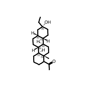 CC[C@@]1(O)CC[C@H]2[C@H](CC[C@@H]3[C@@H]2CC[C@]2(C)C(C(C)=O)CCC[C@@H]32)C1